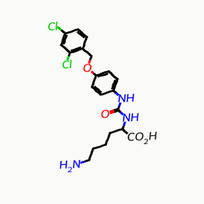 NCCCCC(NC(=O)Nc1ccc(OCc2ccc(Cl)cc2Cl)cc1)C(=O)O